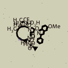 COc1ccc2c(O[C@@H]3C[C@H]4C(=O)N[C@]5(C(=O)NS(=O)(=O)C6CC6)C[C@H]5/C=C\CC[C@@H](C)C[C@@H](C)[C@H](N(C(=O)O)C(C)(C)C(F)(F)F)C(=O)N4C3)nc(-c3ccccc3)cc2c1